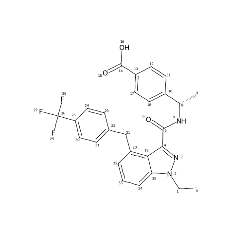 CCn1nc(C(=O)N[C@@H](C)c2ccc(C(=O)O)cc2)c2c(Cc3ccc(C(F)(F)F)cc3)cccc21